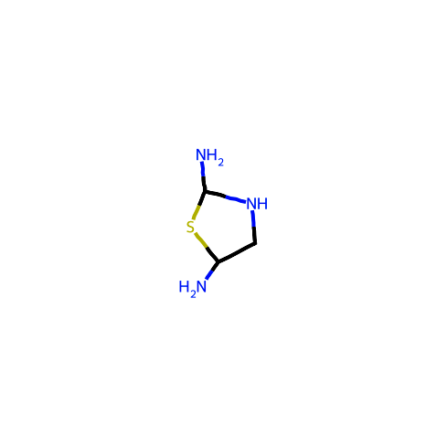 NC1CNC(N)S1